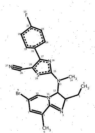 CCC1N=C2C(C)=CC(Br)=CN2C1N(C)c1nc(-c2ccc(F)cc2)c(C#N)s1